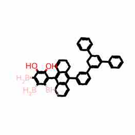 Bc1c(B)c(O)c(O)c(-c2c3c(c(-c4cccc(C5=CC(c6ccccc6)=CC(c6ccccc6)C5)c4)c4c2CCC=C4)CCC=C3)c1B